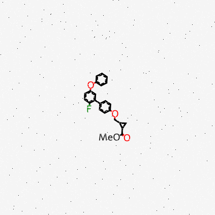 COC(=O)C1CC1COc1ccc(-c2cc(Oc3ccccc3)ccc2F)cc1